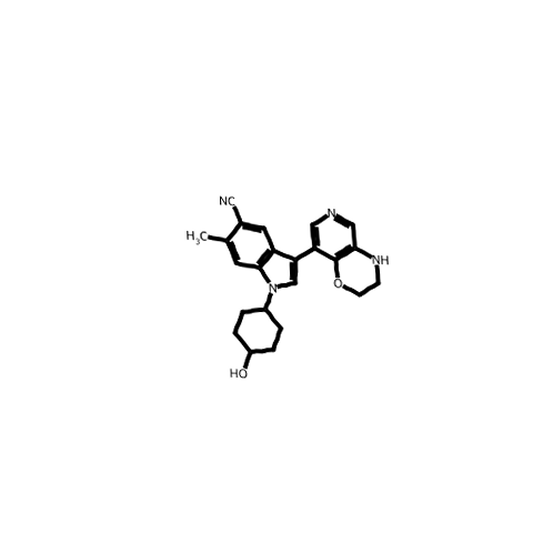 Cc1cc2c(cc1C#N)c(-c1cncc3c1OCCN3)cn2C1CCC(O)CC1